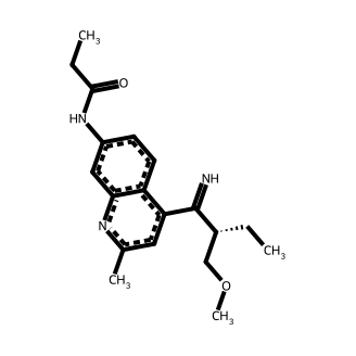 CCC(=O)Nc1ccc2c(C(=N)[C@H](CC)COC)cc(C)nc2c1